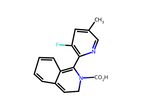 Cc1cnc(C2=c3ccccc3=CCN2C(=O)O)c(F)c1